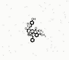 COc1cccc(CN(C=O)CC2N([C@H](C)Cc3ccc(O)cc3)C(=O)CN(C)N2C(=O)NCc2ccccc2)c1OC